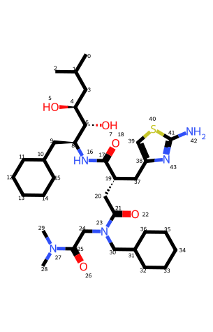 CC(C)C[C@H](O)[C@H](O)[C@H](CC1CCCCC1)NC(=O)[C@@H](CC(=O)N(CC(=O)N(C)C)CC1CCCCC1)Cc1csc(N)n1